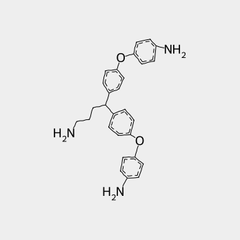 NCCCC(c1ccc(Oc2ccc(N)cc2)cc1)c1ccc(Oc2ccc(N)cc2)cc1